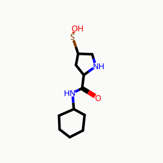 O=C(NC1CCCCC1)C1CC(SO)CN1